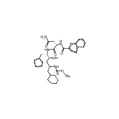 CC(C)(C)OC(=O)NN(CC1CCCCC1)C[C@H](O)[C@H](Cc1ccccc1)NC(=O)[C@H](CC(N)=O)NC(=O)c1ccc2ccccc2n1